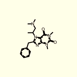 CC(CN(C)C)n1c(Cc2ccccc2)nc2c1c(=O)n(C)c(=O)n2C